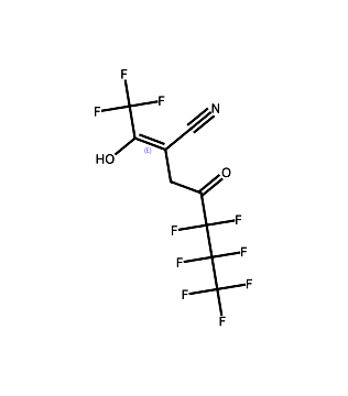 N#C/C(CC(=O)C(F)(F)C(F)(F)C(F)(F)F)=C(/O)C(F)(F)F